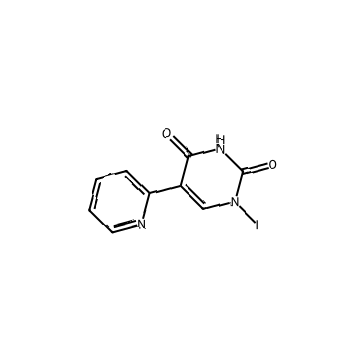 O=c1[nH]c(=O)n(I)cc1-c1ccccn1